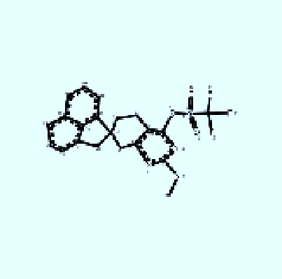 CSc1nc2c(c(OS(=O)(=O)C(F)(F)F)n1)CCC1(C2)Cc2cccc3cccc1c23